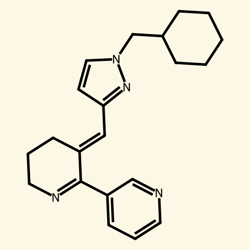 C(=C1/CCCN=C1c1cccnc1)/c1ccn(CC2CCCCC2)n1